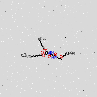 CCCCCCCCCCCCCCCCCC(=O)OC1CC(NC(=O)CCC(=O)NCCC(C)OCCCCOC)CC1OC(=O)CCCCCCCCCCCCCCCCC